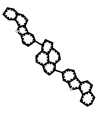 c1ccc2c(c1)ccc1c3ccc(-c4ccc5ccc6c(-c7ccc8oc9c%10ccccc%10ccc9c8c7)ccc7ccc4c5c76)cc3oc21